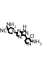 N#CC1(CN)CCN(c2cnc3c(-c4ccnc(N)c4Cl)n[nH]c3n2)CC1